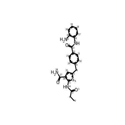 CCC(=O)Nc1sc(Cc2ccc(C(=O)Nc3ccccc3N)cc2)cc1C(N)=O